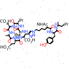 CC[C@@H](C)[C@@H](N)C(=O)N[C@@H](C(=O)N[C@H](CC(=O)O)C(=O)N[C@H](C)C(=O)N[C@H](CCC(=O)O)C(=O)N[C@H](Cc1cn(CCCC[C@H](NC(C)=O)C(=O)N[C@H](Cc2ccc(O)cc2)C(=O)N[C@@H](C)CC(C)C)nn1)C(=O)O)C(C)C